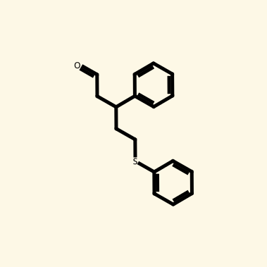 O=CCC(CCSc1ccccc1)c1ccccc1